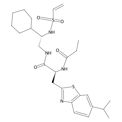 C=CS(=O)(=O)N[C@H](CNC(=O)[C@H](Cc1nc2ccc(C(C)C)cc2s1)NC(=O)CC)C1CCCCC1